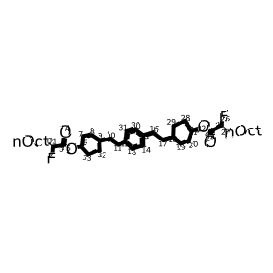 CCCCCCCC[C@@H](F)C(=O)OC1CCC(CCc2ccc(CCC3CCC(OC(=O)[C@H](F)CCCCCCCC)CC3)cc2)CC1